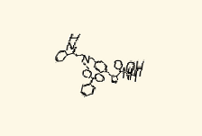 O=C(OCCN(CCc1c[nH]c2ccccc12)Cc1ccc(C2C#CC2C(=O)NO)cc1)c1ccccc1